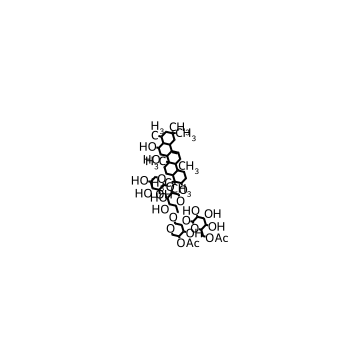 CC(=O)OCC1OC(OC2C(OCC3OC(OC4CCC5(C)C(CCC6(C)C7C(=CCC65)C5CC(C)(C)CC(C)C5C(O)C7O)C4(C)C)C(OC4OCC(O)C(O)C4O)C(O)C3O)OCC(OC(C)=O)C2O)C(O)C(O)C1O